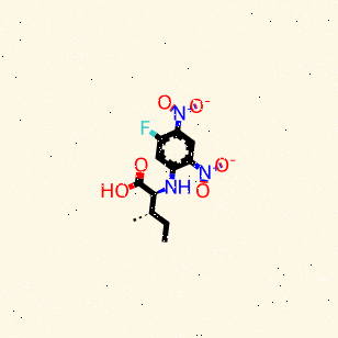 CC[C@H](C)[C@H](Nc1cc(F)c([N+](=O)[O-])cc1[N+](=O)[O-])C(=O)O